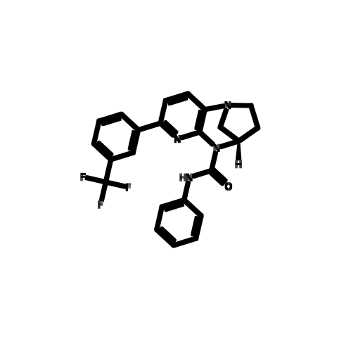 O=C(Nc1ccccc1)N1c2nc(-c3cccc(C(F)(F)F)c3)ccc2N2CC[C@H]1C2